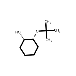 CC(C)(C)O[C@@H]1CCCC[C@@H]1O